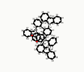 c1ccc([Si](c2ccccc2)(c2ccc(-n3c4ccccc4c4ccccc43)c(-c3ccccc3-n3c4ccccc4c4ccccc43)c2)c2cccc3c2oc2ccccc23)cc1